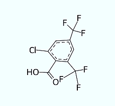 O=C(O)c1c(Cl)cc(C(F)(F)F)cc1C(F)(F)F